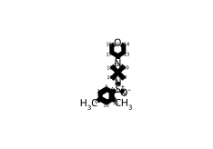 Cc1ccc([S+]([O-])N2CC3(CN(C4CCOCC4)C3)C2)c(C)c1